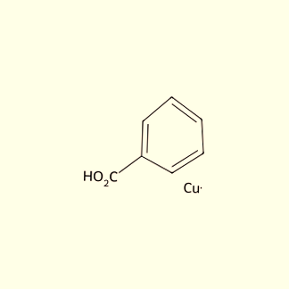 O=C(O)c1ccccc1.[Cu]